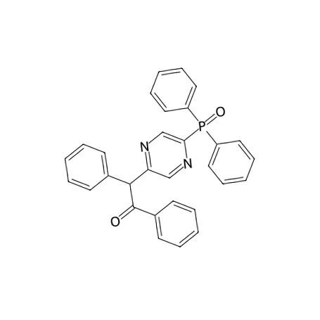 O=C(c1ccccc1)C(c1ccccc1)c1cnc(P(=O)(c2ccccc2)c2ccccc2)cn1